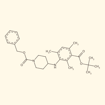 Cc1cc(C)c(C(=O)OC(C)(C)C)c(C)c1NC1CCN(C(=O)OCc2ccccc2)CC1